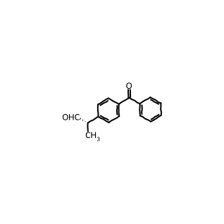 C[C@H](C=O)c1ccc(C(=O)c2ccccc2)cc1